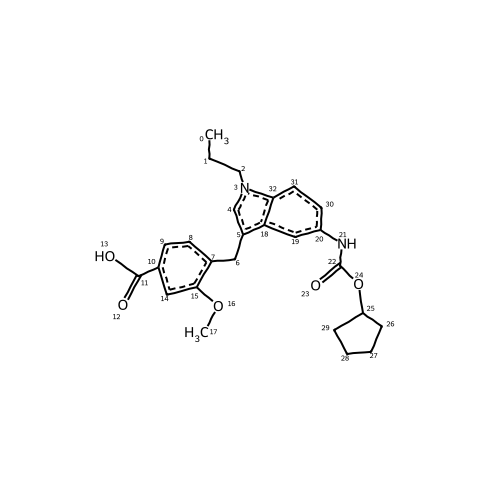 CCCn1cc(Cc2ccc(C(=O)O)cc2OC)c2cc(NC(=O)OC3CCCC3)ccc21